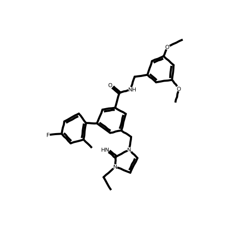 CCn1ccn(Cc2cc(C(=O)NCc3cc(OC)cc(OC)c3)cc(-c3ccc(F)cc3C)c2)c1=N